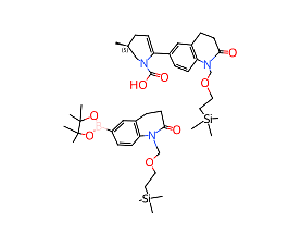 CC1(C)OB(c2ccc3c(c2)CCC(=O)N3COCC[Si](C)(C)C)OC1(C)C.C[C@H]1CC=C(c2ccc3c(c2)CCC(=O)N3COCC[Si](C)(C)C)N(C(=O)O)C1